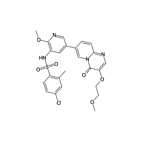 COCCOc1cnc2ccc(-c3cnc(OC)c(NS(=O)(=O)c4ccc(Cl)cc4C)c3)cn2c1=O